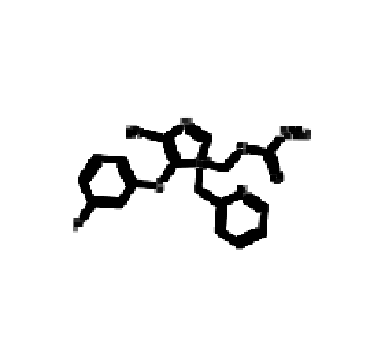 CNC(=O)OC[N+]1(Cc2ccccn2)C=NC(C(C)C)=C1Sc1cccc(F)c1